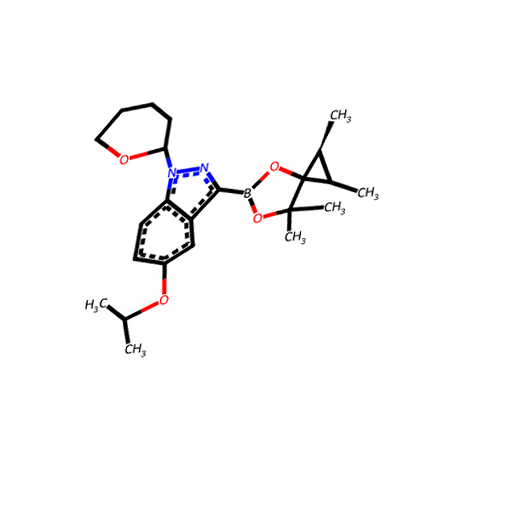 CC(C)Oc1ccc2c(c1)c(B1OC(C)(C)C3(O1)C(C)[C@@H]3C)nn2C1CCCCO1